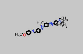 C=C(/C=C\C(=C/C)N=Nc1ccc(N=Nc2ccc(C=Nc3ccc(OCC)cc3)cc2)c(C)c1)N(CC)CC